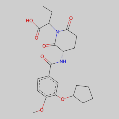 CCC(C(=O)O)N1C(=O)CC[C@H](NC(=O)c2ccc(OC)c(OC3CCCC3)c2)C1=O